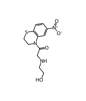 O=C(CNCCO)N1CCSc2ccc([N+](=O)[O-])cc21